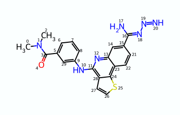 CN(C)C(=O)c1cccc(Nc2nc3cc(/C(N)=N/N=N)ccc3c3sccc23)c1